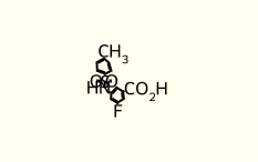 Cc1ccc(S(=O)(=O)Nc2cc(F)cc(C(=O)O)c2)cc1